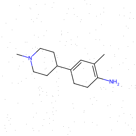 CC1=C(N)CCC(C2CCN(C)CC2)=C1